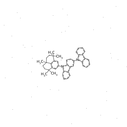 CC1(C)CCC2(C)CCC(C)(C)c3cc(-n4c5ccccc5c5cc(-n6c7ccccc7c7ccccc76)ccc54)cc1c32